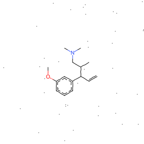 C=CC(c1cccc(OC)c1)C(C)CN(C)C